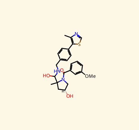 COc1cccc(C(=O)N2C[C@H](O)CC2(C)C(O)NCc2ccc(-c3scnc3C)cc2)c1